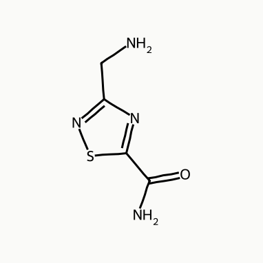 NCc1nsc(C(N)=O)n1